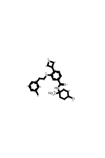 CCC1CCC(NC(=O)c2ccc(C3COC3)c(OCCc3cccc(C)c3)c2)(C(=O)O)CC1